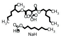 CCCCC(CC)COC(=O)CC(C(=O)OCC(CC)CCCC)S(=O)(=O)O.CCCCCCCCO[PH](=O)O.[NaH]